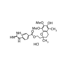 COc1c(O)c(C)c2c(c1OC)OC(C)(CCOC(=O)c1ccc(NC(=N)N)cc1)CC2.Cl